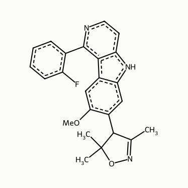 COc1cc2c(cc1C1C(C)=NOC1(C)C)[nH]c1ccnc(-c3ccccc3F)c12